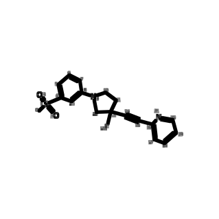 CS(=O)(=O)c1cccc(N2CCC(F)(C#Cc3ccccn3)C2)c1